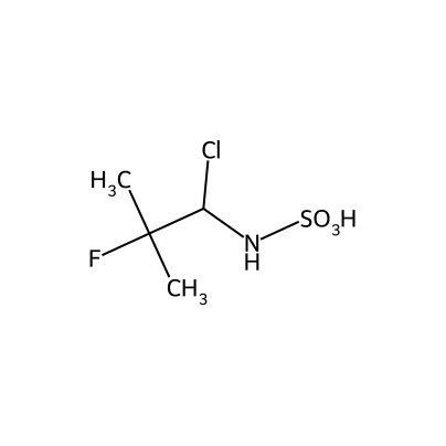 CC(C)(F)C(Cl)NS(=O)(=O)O